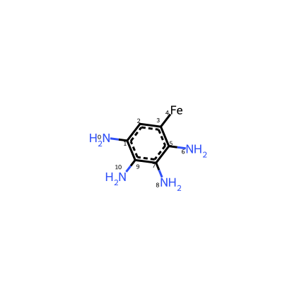 Nc1c[c]([Fe])c(N)c(N)c1N